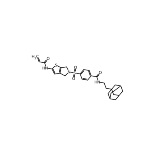 C=CC(=O)Nc1cc2c(s1)CN(S(=O)(=O)c1ccc(C(=O)NCCC34CC5CC(CC(C5)C3)C4)cc1)C2